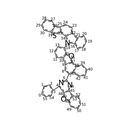 c1ccc(-c2nc(-c3cc4c5cccc(-n6c7ccccc7c7ccc8c9ccccc9sc8c76)c5oc4c4ccccc34)nc3c2oc2ccccc23)cc1